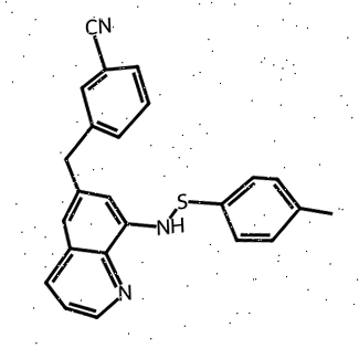 Cc1ccc(SNc2cc(Cc3cccc(C#N)c3)cc3cccnc23)cc1